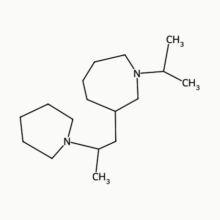 CC(C)N1CCCCC(CC(C)N2CCCCC2)C1